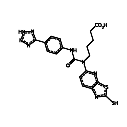 O=C(O)CCCCN(C(=O)Nc1ccc(-c2nn[nH]n2)cc1)c1ccc2nc(S)sc2n1